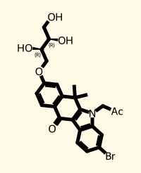 CC(=O)Cn1c2c(c3ccc(Br)cc31)C(=O)c1ccc(OC[C@@H](O)[C@H](O)CO)cc1C2(C)C